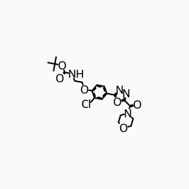 CC(C)(C)OC(=O)NCCOc1ccc(-c2nnc(C(=O)N3CCOCC3)o2)cc1Cl